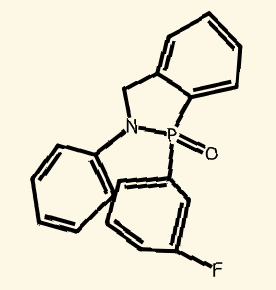 O=P1(c2cccc(F)c2)c2ccccc2CN1c1ccccc1